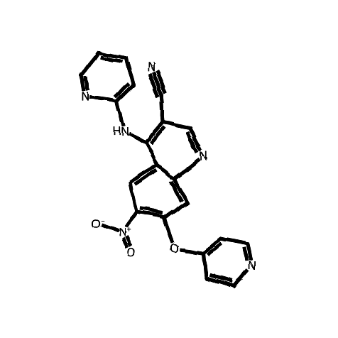 N#Cc1cnc2cc(Oc3ccncc3)c([N+](=O)[O-])cc2c1Nc1ccccn1